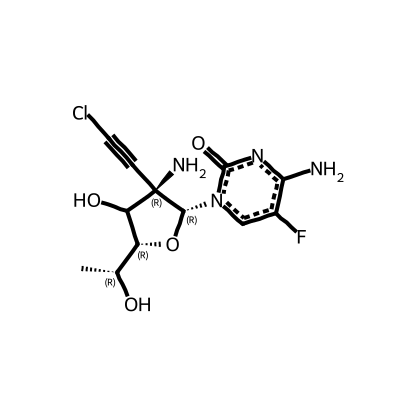 C[C@@H](O)[C@H]1O[C@@H](n2cc(F)c(N)nc2=O)[C@@](N)(C#CCl)C1O